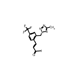 Cc1nnn(Cc2cc(C(F)(F)F)ccc2/C=C/C(=O)I)n1